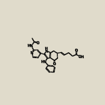 CC(=O)Nc1cc(-c2[nH]c3c(c2Nc2ccccc2)C(=O)CC(C=CCCC(=O)O)C3)ccn1